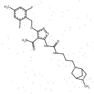 Cc1cc(F)c(COc2nsc(NC(=O)NCCCN3CC4CC3CN4C)c2C(N)=O)c(F)c1